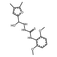 COc1cccc(OC)c1NC(=S)NNC(O)c1cc(C)c(C)o1